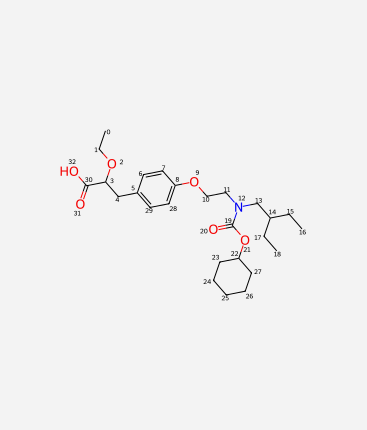 CCOC(Cc1ccc(OCCN(CC(CC)CC)C(=O)OC2CCCCC2)cc1)C(=O)O